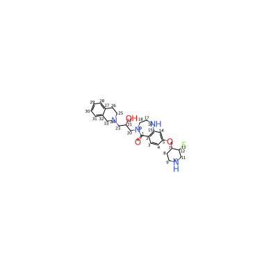 O=C1c2ccc(OC3CCNCC3F)cc2NCCN1CC(O)CN1CCc2ccccc2C1